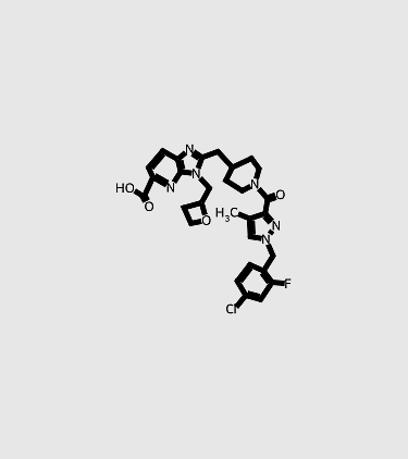 Cc1cn(Cc2ccc(Cl)cc2F)nc1C(=O)N1CCC(Cc2nc3ccc(C(=O)O)nc3n2CC2CCO2)CC1